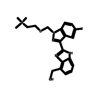 C[Si](C)(C)CCOCn1nc(-c2nc3c(CO)cccc3[nH]2)c2cc(I)ccc21